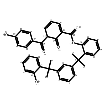 CC(C)(c1cccc(C(C)(C)c2ccccc2OC(=O)C2=CC=CC(C(=O)c3ccc(O)cc3)C2=O)c1)c1ccccc1O